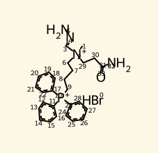 Br.C[N+](C=NN)(CCCC[P+](c1ccccc1)(c1ccccc1)c1ccccc1)CCC(N)=O